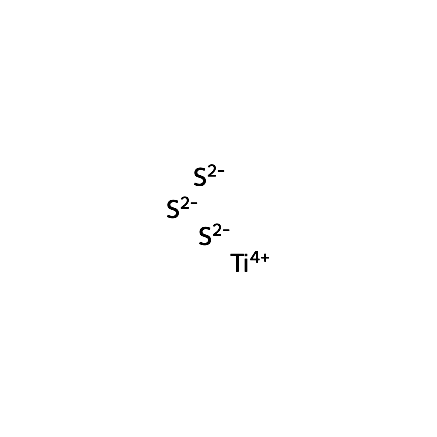 [S-2].[S-2].[S-2].[Ti+4]